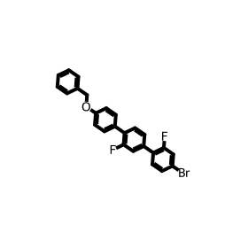 Fc1cc(Br)ccc1-c1ccc(-c2ccc(OCc3ccccc3)cc2)c(F)c1